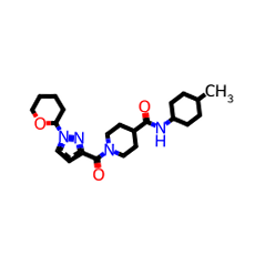 CC1CCC(NC(=O)C2CCN(C(=O)c3ccn(C4CCCCO4)n3)CC2)CC1